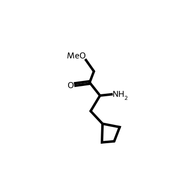 COCC(=O)C(N)CC1CCC1